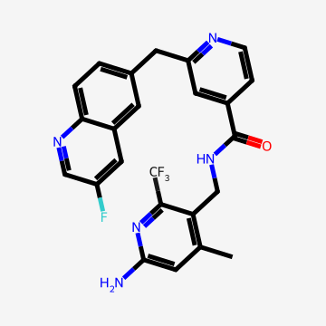 Cc1cc(N)nc(C(F)(F)F)c1CNC(=O)c1ccnc(Cc2ccc3ncc(F)cc3c2)c1